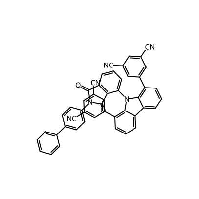 N#Cc1cc(C#N)cc(-c2cccc3c4cccc(-c5cc(C#N)cc(C#N)c5)c4n(-c4cccc5c4C(=O)N(c4ccc(-c6ccccc6)cc4)C5=O)c23)c1